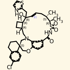 C[C@@H]1[C@@H](C)C/C=C/[C@@](O)(Cc2nccs2)[C@@H]2CC[C@H]2CN2C[C@@]3(CCCc4cc(Cl)ccc43)COc3ccc(cc32)C(=O)NS1(=O)=O